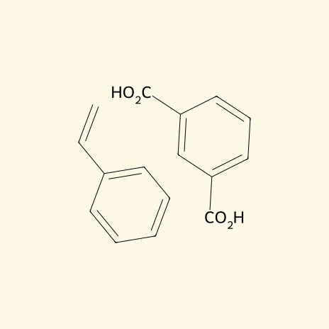 C=Cc1ccccc1.O=C(O)c1cccc(C(=O)O)c1